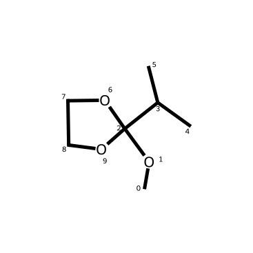 COC1(C(C)C)OCCO1